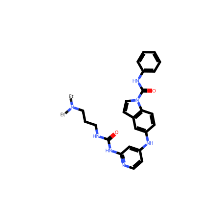 CCN(CC)CCCNC(=O)Nc1cc(Nc2ccc3c(ccn3C(=O)Nc3ccccc3)c2)ccn1